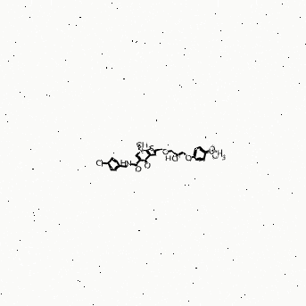 COc1ccc(OC[C@H](O)COCc2cc3c(=O)c(C(=O)NCc4ccc(Cl)cc4)cn(C)c3s2)cc1